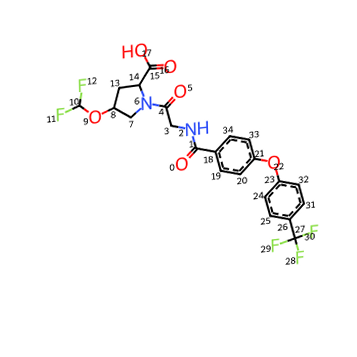 O=C(NCC(=O)N1CC(OC(F)F)CC1C(=O)O)c1ccc(Oc2ccc(C(F)(F)F)cc2)cc1